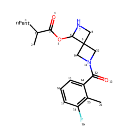 CCCCCC(C)C(=O)OC1NCC12CN(C(=O)c1cccc(F)c1C)C2